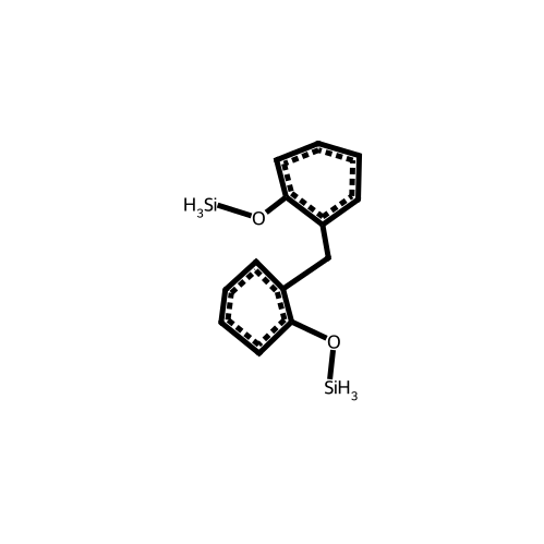 [SiH3]Oc1ccccc1Cc1ccccc1O[SiH3]